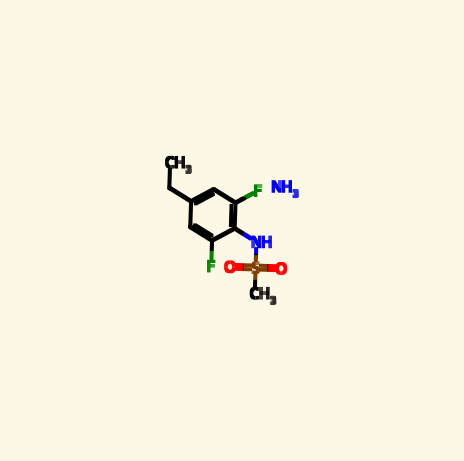 CCc1cc(F)c(NS(C)(=O)=O)c(F)c1.N